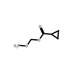 O=C(OCO[N+](=O)[O-])C1CC1